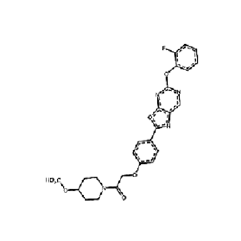 O=C(O)OC1CCN(C(=O)COc2ccc(-c3nc4cnc(Oc5ccccc5F)nc4o3)cc2)CC1